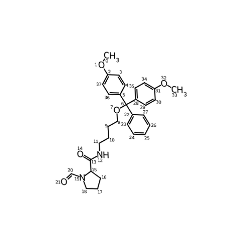 COc1ccc(C(OCCCCNC(=O)C2CCCN2C=O)(c2ccccc2)c2ccc(OC)cc2)cc1